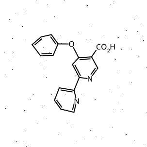 O=C(O)c1cnc(-c2ccccn2)cc1Oc1ccccc1